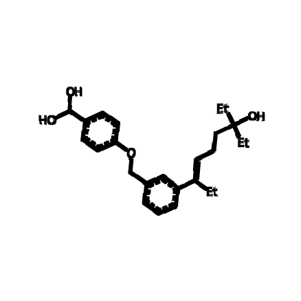 CCC(=CCCC(O)(CC)CC)c1cccc(COc2ccc(C(O)O)cc2)c1